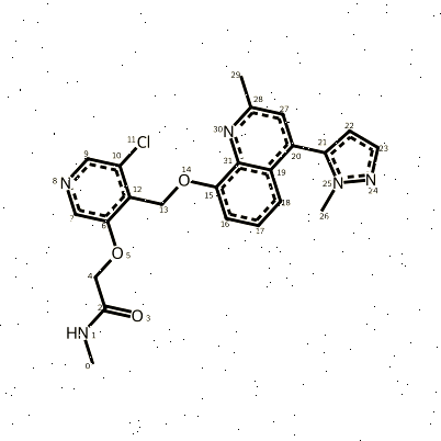 CNC(=O)COc1cncc(Cl)c1COc1cccc2c(-c3ccnn3C)cc(C)nc12